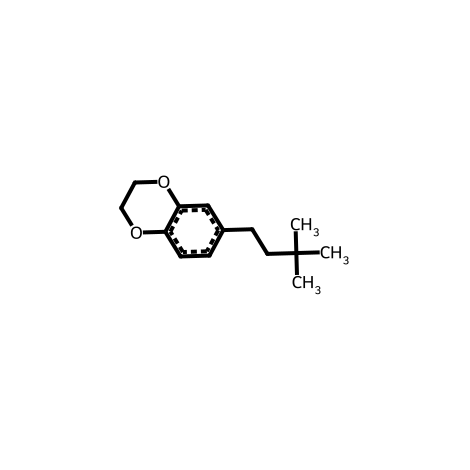 CC(C)(C)CCc1ccc2c(c1)OCCO2